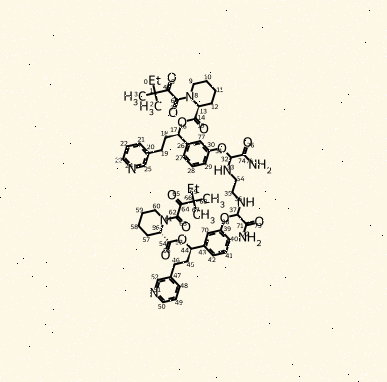 CCC(C)(C)C(=O)C(=O)N1CCCC[C@H]1C(=O)O[C@H](CCc1cccnc1)c1cccc(OC(NCCNC(Oc2cccc([C@@H](CCc3cccnc3)OC(=O)[C@@H]3CCCCN3C(=O)C(=O)C(C)(C)CC)c2)C(N)=O)C(N)=O)c1